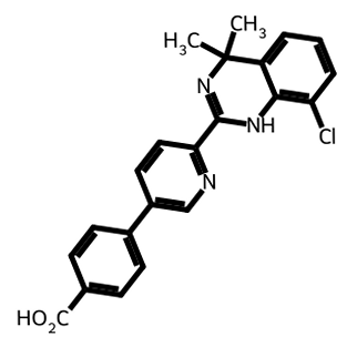 CC1(C)N=C(c2ccc(-c3ccc(C(=O)O)cc3)cn2)Nc2c(Cl)cccc21